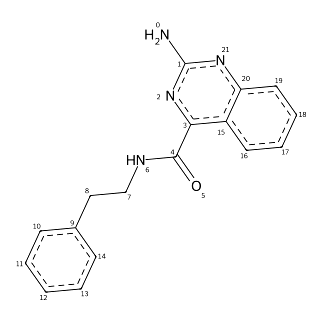 Nc1nc(C(=O)NCCc2ccccc2)c2ccccc2n1